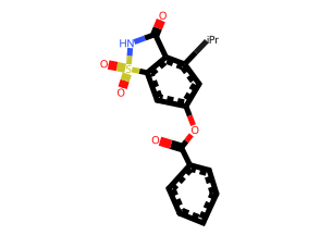 CC(C)c1cc(OC(=O)c2ccccc2)cc2c1C(=O)NS2(=O)=O